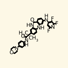 CC(C)(C(=O)Nc1ccc(N2CCOCC2)cc1)c1ccc2c(c1)NC(=O)c1ccc(Nc3cc(F)nc(F)c3F)cc1N2